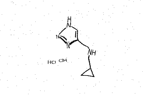 Cl.Cl.c1[nH]nnc1NC1CC1